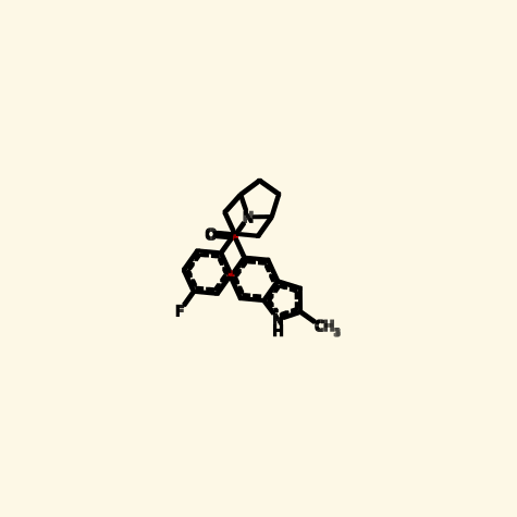 Cc1cc2cc(C(=O)N3C4CCC3CC(c3ccc(F)cc3)C4)ccc2[nH]1